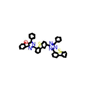 c1ccc(-c2nc(-c3ccc4sc5c(-c6nc(-c7ccccc7)c7oc8ccccc8c7n6)cccc5c4c3)nc(-c3cccc4c3sc3ccccc34)n2)cc1